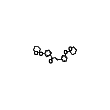 O=C(C=Cc1cccc(OC2CCCCO2)c1)c1cccc(OC2CCCCO2)c1